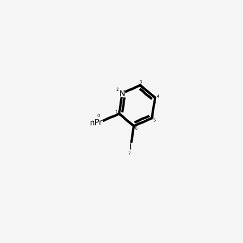 CCCc1ncccc1I